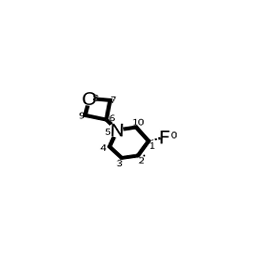 F[C@@H]1[CH]CCN(C2COC2)C1